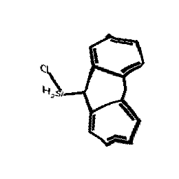 Cl[SiH2]C1c2ccccc2-c2ccccc21